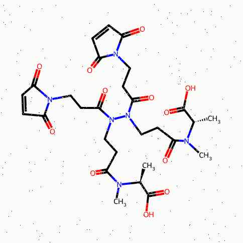 C[C@@H](C(=O)O)N(C)C(=O)CCN(C(=O)CCN1C(=O)C=CC1=O)N(CCC(=O)N(C)[C@@H](C)C(=O)O)C(=O)CCN1C(=O)C=CC1=O